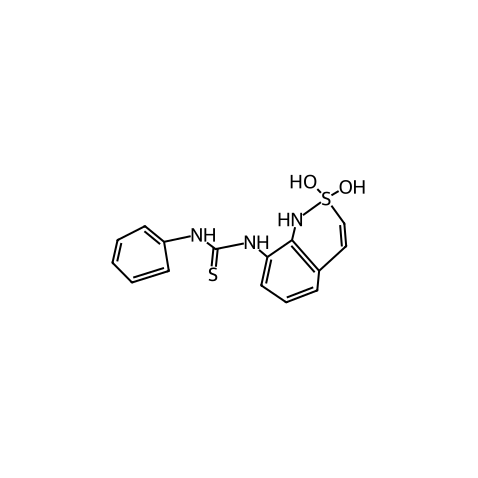 OS1(O)C=Cc2cccc(NC(=S)Nc3ccccc3)c2N1